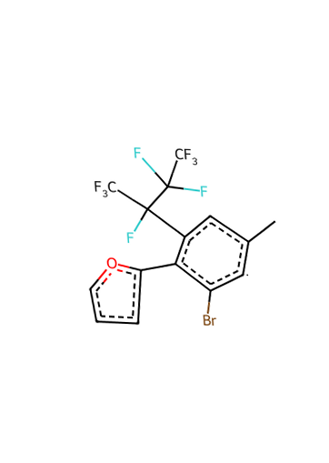 Cc1[c]c(Br)c(-c2ccco2)c(C(F)(C(F)(F)F)C(F)(F)C(F)(F)F)c1